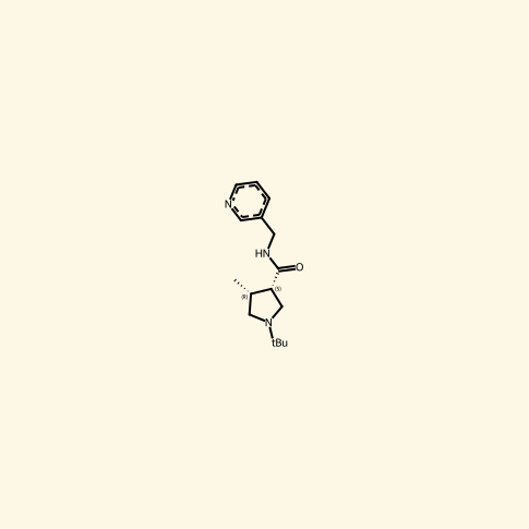 C[C@H]1CN(C(C)(C)C)C[C@H]1C(=O)NCc1cccnc1